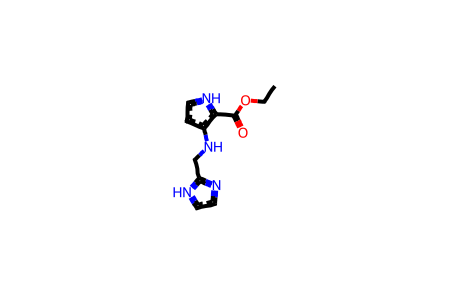 CCOC(=O)c1[nH]ccc1NCc1ncc[nH]1